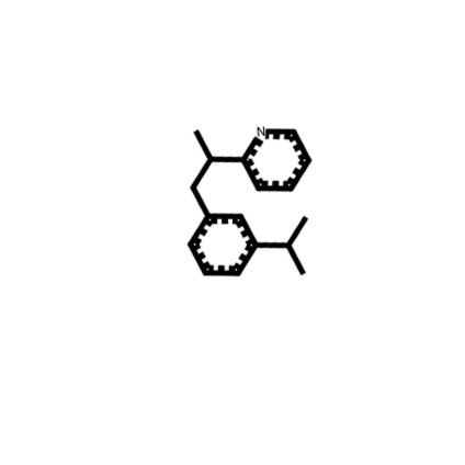 CC(C)c1cccc(CC(C)c2ccccn2)c1